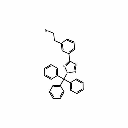 BrCCc1cccc(-c2nnn(C(c3ccccc3)(c3ccccc3)c3ccccc3)n2)c1